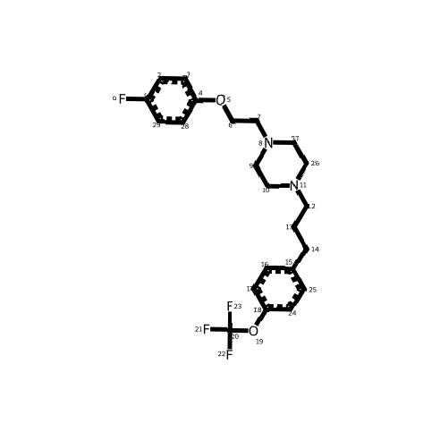 Fc1ccc(OCCN2CCN(CCCc3ccc(OC(F)(F)F)cc3)CC2)cc1